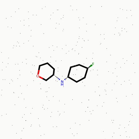 F[C@H]1CC[C@H](N[C@H]2CCCOC2)CC1